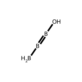 BB=BO